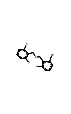 Fc1cccc(Br)c1COCc1c(F)cccc1Br